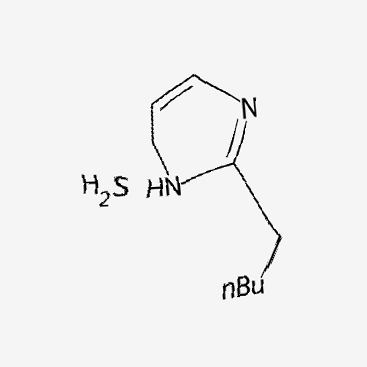 CCCCCc1ncc[nH]1.S